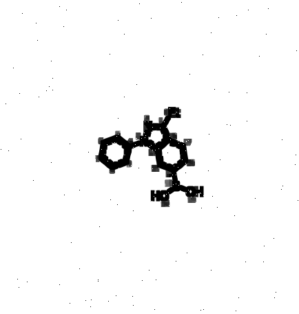 CCc1nn(-c2ccccc2)c2cc(B(O)O)ccc12